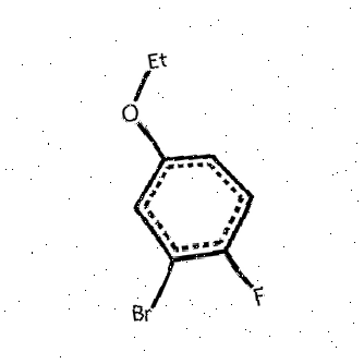 CCOc1ccc(F)c(Br)c1